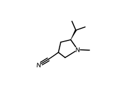 CC(C)[C@@H]1CC(C#N)CN1C